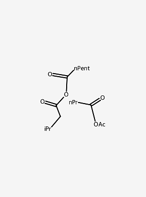 CCCC(=O)OC(C)=O.CCCCCC(=O)OC(=O)CC(C)C